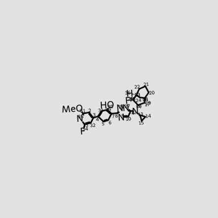 COc1cc(-c2ccc(-c3ncc(N(C4CC4)[C@H]4C[C@]5(C)CCC[C@@H](C5)[C@H]4F)nn3)c(O)c2)cc(F)n1